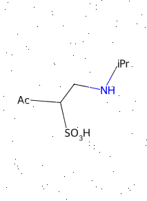 CC(=O)C(CNC(C)C)S(=O)(=O)O